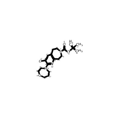 CC(C)(C)OC(=O)N1CCc2cc(Cl)c(N3CCCOCC3)nc2CC1